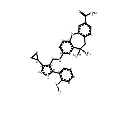 COC(=O)c1ccc2c(c1)Oc1ccc(OCc3c(-c4ccccc4OC(F)(F)F)noc3C3CC3)nc1C(C)(C)C2